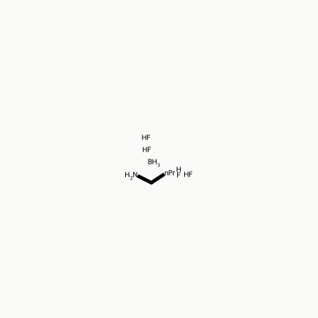 B.CCCCN.F.F.F.F